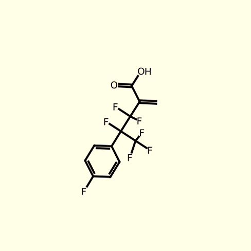 C=C(C(=O)O)C(F)(F)C(F)(c1ccc(F)cc1)C(F)(F)F